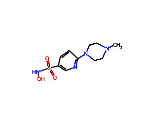 CN1CCN(c2ccc(S(=O)(=O)NO)cn2)CC1